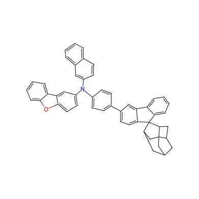 c1ccc2c(c1)-c1cc(-c3ccc(N(c4ccc5ccccc5c4)c4ccc5oc6ccccc6c5c4)cc3)ccc1C21C2CC3CC4CC1C4(C3)C2